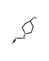 CCCCC1CCN(NP=O)CC1